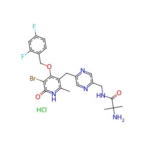 Cc1[nH]c(=O)c(Br)c(OCc2ccc(F)cc2F)c1Cc1cnc(CNC(=O)C(C)(C)N)cn1.Cl